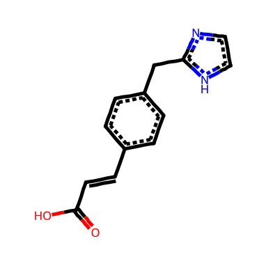 O=C(O)C=Cc1ccc(Cc2ncc[nH]2)cc1